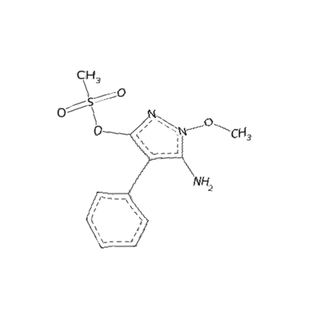 COn1nc(OS(C)(=O)=O)c(-c2ccccc2)c1N